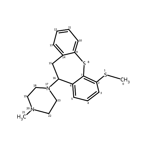 CSc1cccc2c1Sc1ccccc1CC2N1CCN(C)CC1